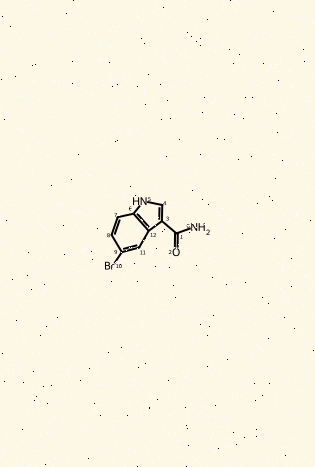 NC(=O)c1c[nH]c2ccc(Br)cc12